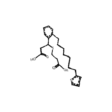 O=C(O)CCSC(CC(=O)O)c1ccccc1CCCCCCCc1cccs1